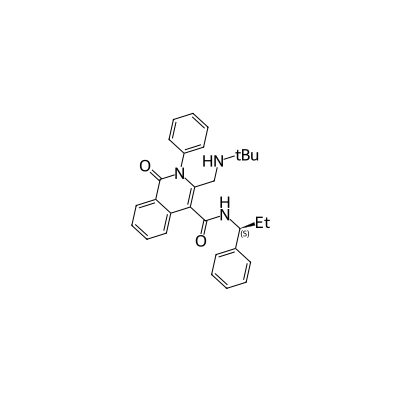 CC[C@H](NC(=O)c1c(CNC(C)(C)C)n(-c2ccccc2)c(=O)c2ccccc12)c1ccccc1